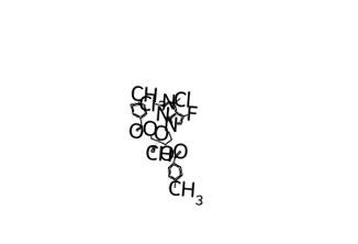 C#C[C@]1(COC(=O)c2ccc(C)cc2)OC(n2cc(F)c3c(Cl)nc(Cl)nc32)CC1OC(=O)c1ccc(C)cc1